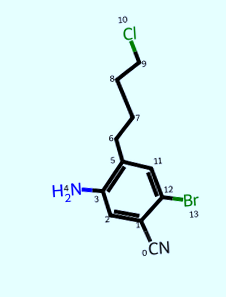 N#Cc1cc(N)c(CCCCCl)cc1Br